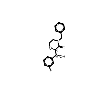 O=C1[C@@H]([C@@H](O)c2cccc(F)c2)OCCN1Cc1ccccc1